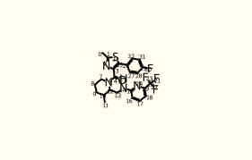 Cc1nc(C(=O)N2CCCC(C)C2CNc2cccc(C(F)(F)F)n2)c(-c2ccc(F)cc2)s1